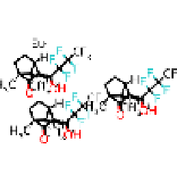 CC1(C)[C@@H]2CC[C@@]1(C)C(=O)/C2=C(\O)C(F)(F)C(F)(F)C(F)(F)F.CC1(C)[C@@H]2CC[C@@]1(C)C(=O)/C2=C(\O)C(F)(F)C(F)(F)C(F)(F)F.CC1(C)[C@@H]2CC[C@@]1(C)C(=O)/C2=C(\O)C(F)(F)C(F)(F)C(F)(F)F.[Eu]